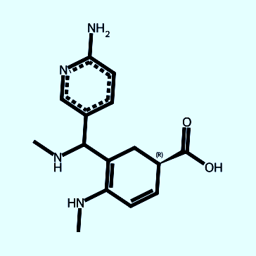 CNC1=C(C(NC)c2ccc(N)nc2)C[C@@H](C(=O)O)C=C1